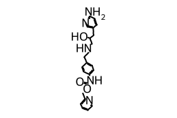 Nc1ccc(CC(O)CNCCc2ccc(NC(=O)OCc3ccccn3)cc2)cn1